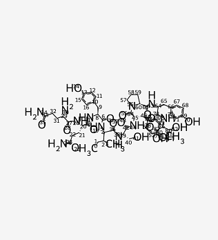 CC[C@H](C)[C@H](NC(=O)[C@H](Cc1ccc(O)cc1)NC(=O)[C@H](CCC(N)=O)NC(=O)[C@@H](N)CCC(N)=O)C(=O)N[C@@H](CO)C(=O)N[C@@H](Cc1ccc(O)cc1)C(=O)N1CCC[C@H]1C(=O)N[C@@H](Cc1ccc(O)cc1)C(=O)N[C@H](C(=O)O)[C@@H](C)O